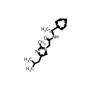 Cc1nc(CC(C)C)cn1CC(=O)N[C@H](C)c1ccccc1